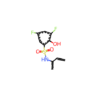 C=CC(=C)NS(=O)(=O)c1cc(F)cc(F)c1O